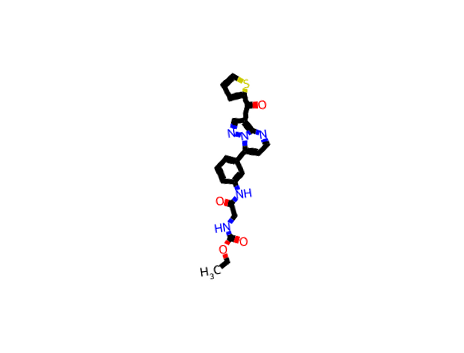 CCOC(=O)NCC(=O)Nc1cccc(-c2ccnc3c(C(=O)c4cccs4)cnn23)c1